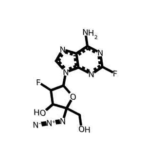 [N-]=[N+]=NC1(CO)OC(n2cnc3c(N)nc(F)nc32)C(F)C1O